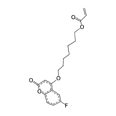 C=CC(=O)OCCCCCCCOc1cc(=O)oc2ccc(F)cc12